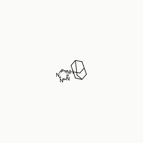 C1C2CC3CC1CC(C2)C3.c1nnn[nH]1